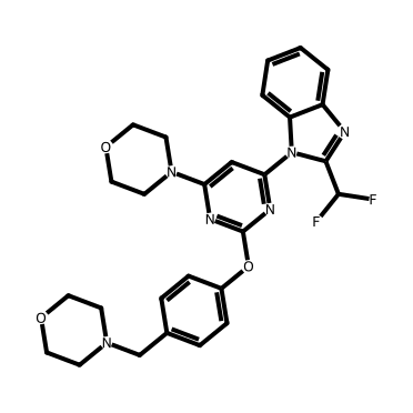 FC(F)c1nc2ccccc2n1-c1cc(N2CCOCC2)nc(Oc2ccc(CN3CCOCC3)cc2)n1